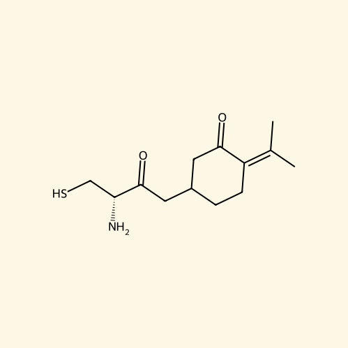 CC(C)=C1CCC(CC(=O)[C@H](N)CS)CC1=O